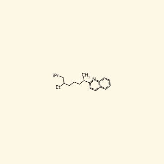 CCC(CCCC(C)c1ccc2ccccc2n1)CC(C)C